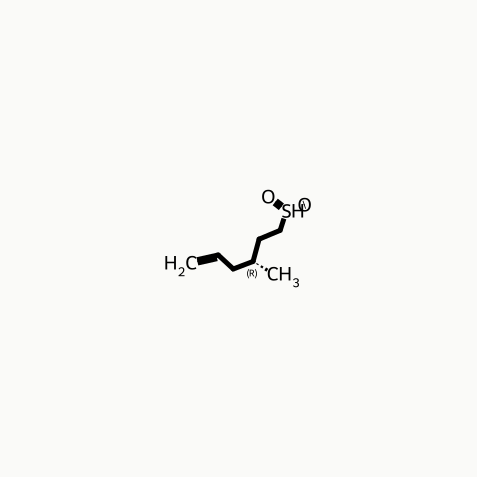 C=CC[C@@H](C)CC[SH](=O)=O